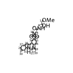 COC[C@H](O)CNC(=O)CN(C)S(=O)(=O)c1ccc(N2CCCC2)c(-c2cc3ccc(C)cc3[nH]2)c1